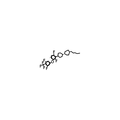 CCCCC[C@H]1CC[C@H](C2CCC(c3c(F)c[c]c(Oc4cc(F)c(C(F)(F)F)c(F)c4)c3F)CC2)CC1